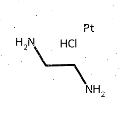 Cl.NCCN.[Pt]